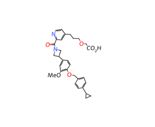 COc1cc(C2CN(C(=O)c3cc(CCCOCC(=O)O)ccn3)C2)ccc1OCc1ccc(C2CC2)cc1